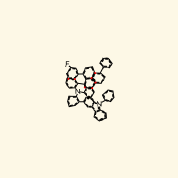 Fc1cccc(-c2cccc3cccc(-c4ccccc4N(c4cccc(-c5ccc(-c6ccccc6)cc5)c4)c4ccccc4-c4ccc5c(c4)c4ccccc4n5-c4ccccc4)c23)c1